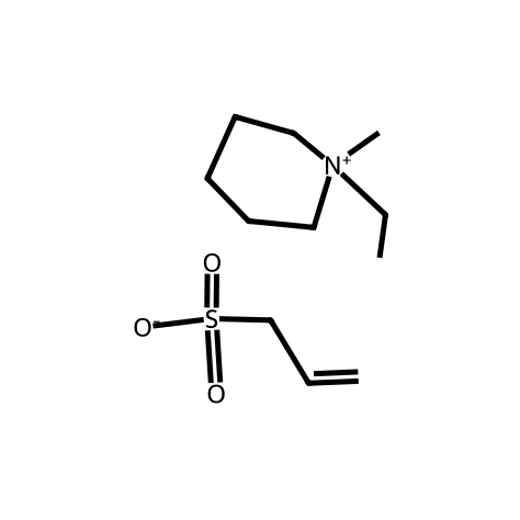 C=CCS(=O)(=O)[O-].CC[N+]1(C)CCCCC1